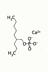 CCCCCC(CCC)COP(=O)([O-])[O-].[Ca+2]